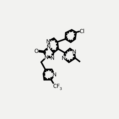 Cc1cnc(-c2c(-c3ccc(Cl)cc3)cnn3c(=O)n(Cc4ccc(C(F)(F)F)nc4)nc23)cn1